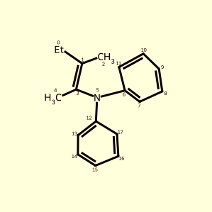 CCC(C)=C(C)N(c1ccccc1)c1ccccc1